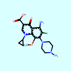 COc1c(N2CCN(C)CC2)c(F)c(N)c2c(=O)c(C(=O)O)cn(C3CC3)c12